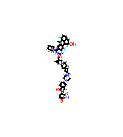 CCc1c(F)ccc2cc(O)cc(-c3c(F)cc4c(N5CC6CCC(C5)N6)nc(OCC5(CN6CCC7(CC6)CC(CN6CCN(c8ccc9c(c8)CN([C@H]8CCC(=O)NC8=O)C9=O)CC6)C7)CC5)nc4c3F)c12